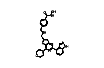 O=C(NO)c1ccc(CNCc2cc3nc(-c4cccc5[nH]ncc45)nc(N4CCOCC4)c3s2)cc1